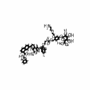 Cc1c(-c2ccc(-c3ccc4cccc(C(=O)Nc5nc6ccccc6s5)c4c3)nc2C(=O)O)cnn1CC12CC3(C)C[C@@](C)(C1)C[C@@](OCCN(C)C(=O)OCc1ccc(O[C@H]4OC(C(=O)O)=C(O)C(O)=C4O)cc1OCCOCCN)(C3)C2